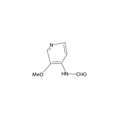 COc1cnccc1NC=O